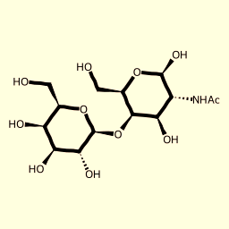 CC(=O)N[C@@H]1[C@@H](O)[C@@H](O[C@@H]2O[C@H](CO)[C@H](O)[C@H](O)[C@H]2O)[C@@H](CO)O[C@H]1O